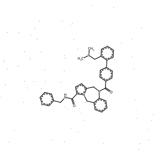 CN(C)Cc1ccccc1-c1ccc(C(=O)N2Cc3ccc(C(=O)NCc4cccnc4)n3Cc3ccccc32)cc1